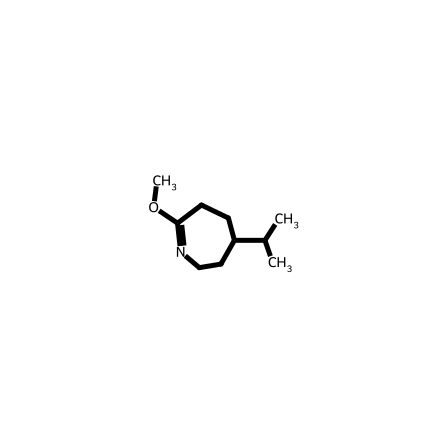 COC1=NCCC(C(C)C)CC1